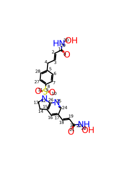 O=C(/C=C/Cc1ccc(S(=O)(=O)N2CCc3cc(/C=C/C(=O)NO)cnc32)cc1)NO